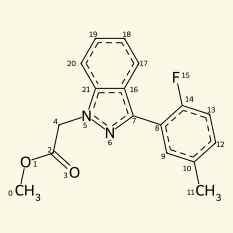 COC(=O)Cn1nc(-c2cc(C)ccc2F)c2ccccc21